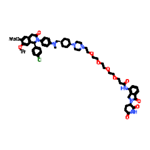 COc1cc2c(cc1OC(C)C)[C@H](c1ccc(Cl)cc1)N(c1ccc(N(C)C[C@H]3CC[C@H](N4CCN(CCOCCOCCOCCOCCC(=O)Nc5cccc6c5CN(C5CCC(=O)NC5=O)C6=O)CC4)CC3)cc1)C(=O)C2